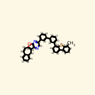 Cc1cccc2c1sc1c(-c3cccc(-c4cccc(-c5cnc6c7c(oc6n5)C=Cc5ccccc5C7)c4)c3)cccc12